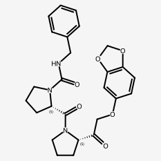 O=C(COc1ccc2c(c1)OCO2)[C@@H]1CCCN1C(=O)[C@@H]1CCCN1C(=O)NCc1ccccc1